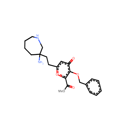 COC(=O)c1oc(CCC2(N)CCCCNC2)cc(=O)c1OCc1ccccc1